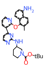 Cc1ccc2c(N)cccc2c1Oc1ncccc1-c1ccnc(NC2CCCN(C(=O)OC(C)(C)C)C2)n1